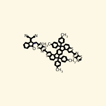 Cc1ccc(C2(c3ccc(C)cc3)c3cc4c(cc3-c3c2ccc2sc(-c5nc6scnc6s5)cc32)C(c2ccc(C)cc2)(c2ccc(C)cc2)c2ccc3sc(-c5nc6sc(/C=C7\C(=O)c8ccccc8C7=C(C#N)C#N)nc6s5)cc3c2-4)cc1